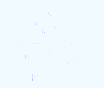 CC1CCCN1c1cccc(Nc2nc(-c3cccc(CNC4CCNCC4)c3)nc3scnc23)c1.O=C(O)C(F)(F)F